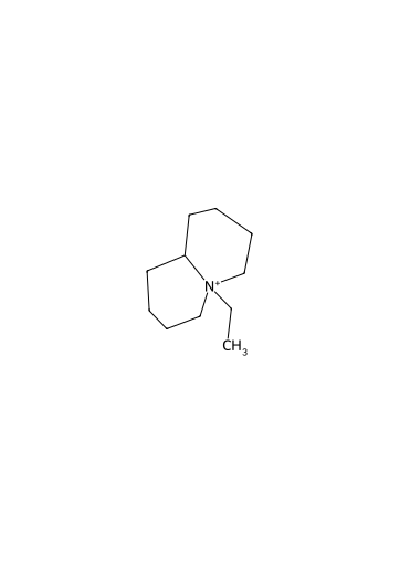 CC[N+]12CCCCC1CCCC2